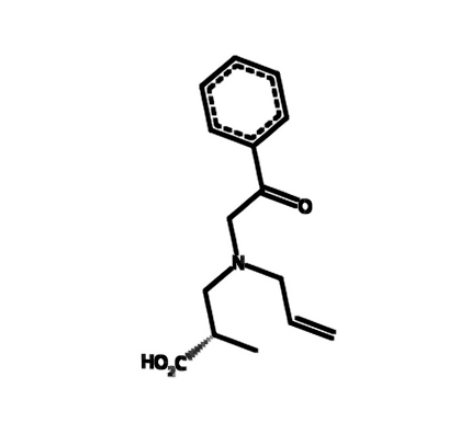 C=CCN(CC(=O)c1ccccc1)C[C@H](C)C(=O)O